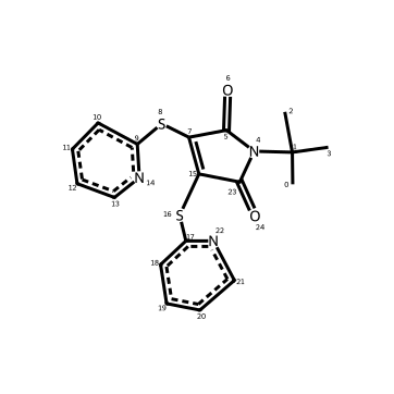 CC(C)(C)N1C(=O)C(Sc2ccccn2)=C(Sc2ccccn2)C1=O